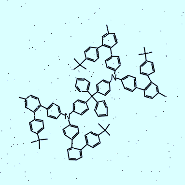 Cc1ccc(-c2ccc(N(c3ccc(-c4ccccc4-c4ccc(C(C)(C)C)cc4)cc3)c3ccc(C(c4ccccc4)(c4ccccc4)c4ccc(N(c5ccc(-c6ccc(C)cc6-c6ccc(C(C)(C)C)cc6)cc5)c5ccc(-c6ccc(C)cc6-c6ccc(C(C)(C)C)cc6)cc5)cc4)cc3)cc2)c(-c2ccc(C(C)(C)C)cc2)c1